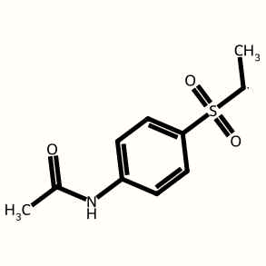 C[CH]S(=O)(=O)c1ccc(NC(C)=O)cc1